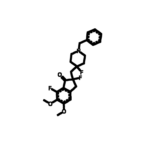 COc1cc2c(c(F)c1OC)C(=O)C(F)(CC1(F)CCN(Cc3ccccc3)CC1)C2